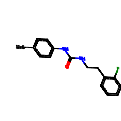 CSc1ccc(NC(=O)NCCc2ccccc2F)cc1